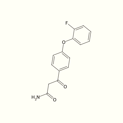 NC(=O)CC(=O)c1ccc(Oc2ccccc2F)cc1